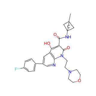 CC12CC(NC(=O)c3c(O)c4cc(-c5ccc(F)cc5)cnc4n(CCN4CCOCC4)c3=O)(C1)C2